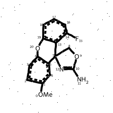 COc1ccc2c(c1)C1(COC(N)=N1)c1c(F)cccc1O2